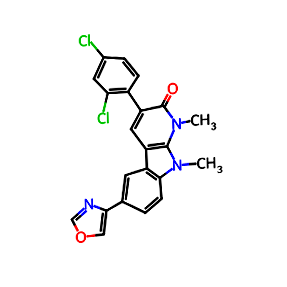 Cn1c(=O)c(-c2ccc(Cl)cc2Cl)cc2c3cc(-c4cocn4)ccc3n(C)c21